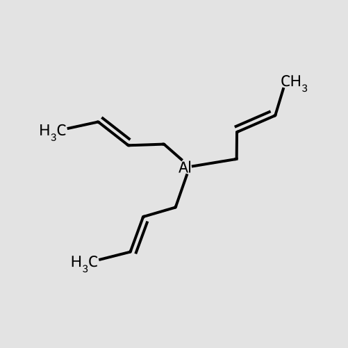 C/C=C/[CH2][Al]([CH2]/C=C/C)[CH2]/C=C/C